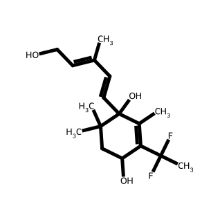 CC(C=CC1(O)C(C)=C(C(C)(F)F)C(O)CC1(C)C)=CCO